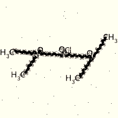 CCCCCCCCCCN(CCCCCCCCCC)C(=O)CCCCCCCCCN(CCCCCCCCCC(=O)N(CCCCCCCCCC)CCCCCCCCCC)C(=O)Cl